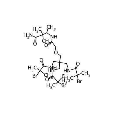 CC(NC(=O)COCC(CNC(=O)C(C)(C)Br)(CNC(=O)C(C)(C)Br)CNC(=O)C(C)(C)Br)C(C)(C)C(N)=O